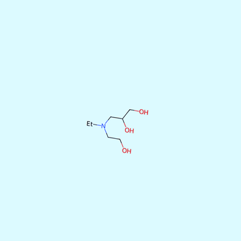 CCN(CCO)CC(O)CO